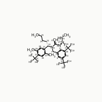 C=C(/N=N\NC)N(Cc1cc(C(F)(F)F)cc(C(F)(F)F)c1)[C@@H](CCCC)c1cc(C)c(C(F)(F)F)cc1C